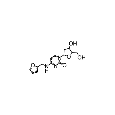 O=c1nc(NCc2ccco2)ccn1C1CC(O)C(CO)O1